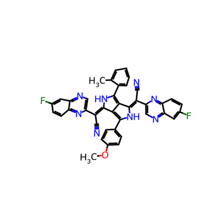 COc1ccc(-c2[nH]/c(=C(/C#N)c3cnc4cc(F)ccc4n3)c3c(-c4ccccc4C)[nH]/c(=C(/C#N)c4cnc5cc(F)ccc5n4)c23)cc1